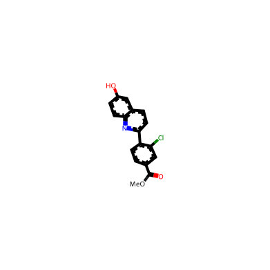 COC(=O)c1ccc(-c2ccc3cc(O)ccc3n2)c(Cl)c1